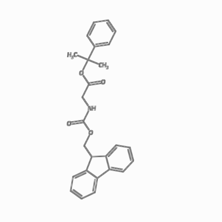 CC(C)(OC(=O)CNC(=O)OCC1c2ccccc2-c2ccccc21)c1ccccc1